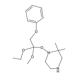 CCOC(COc1[c]cccc1)(OC)ON1CCNCC1(C)C